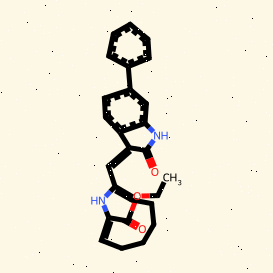 CCOC(=O)/C1=C\CCCC/C=C(\C=C2/C(=O)Nc3cc(-c4ccccc4)ccc32)N1